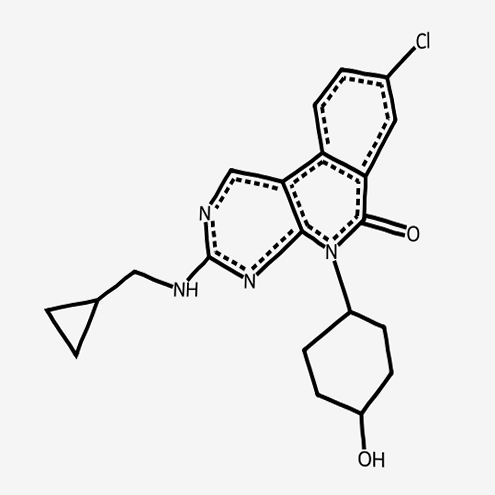 O=c1c2cc(Cl)ccc2c2cnc(NCC3CC3)nc2n1C1CCC(O)CC1